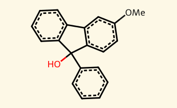 COc1ccc2c(c1)-c1ccccc1C2(O)c1ccccc1